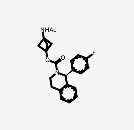 CC(=O)NC12CC(OC(=O)N3CCc4ccccc4[C@@H]3c3ccc(F)cc3)(C1)C2